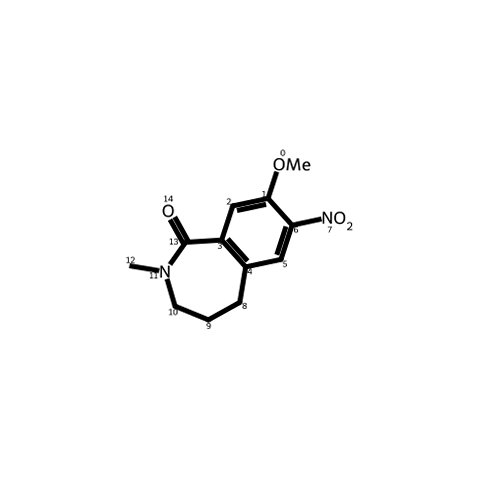 COc1cc2c(cc1[N+](=O)[O-])CCCN(C)C2=O